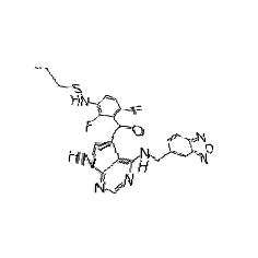 CCCSNc1ccc(F)c(C(=O)c2c[nH]c3ncnc(NCc4ccc5nonc5c4)c23)c1F